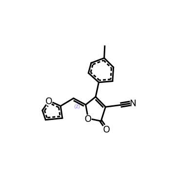 Cc1ccc(C2=C(C#N)C(=O)O/C2=C\c2ccco2)cc1